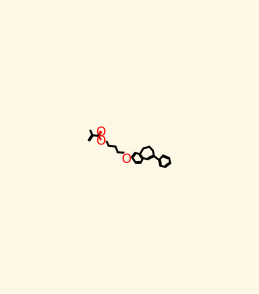 C=C(C)C(=O)OCCCCCOc1ccc2c(c1)CCCC(c1ccccc1)=C2